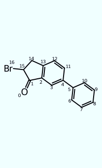 O=C1c2cc(-c3ccccc3)ccc2CC1Br